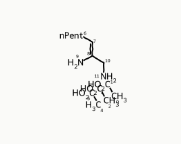 CC(=O)O.CC(=O)O.CC(=O)O.CCCCCC=C(N)CN